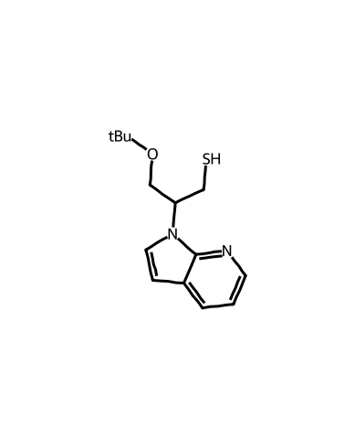 CC(C)(C)OCC(CS)n1ccc2cccnc21